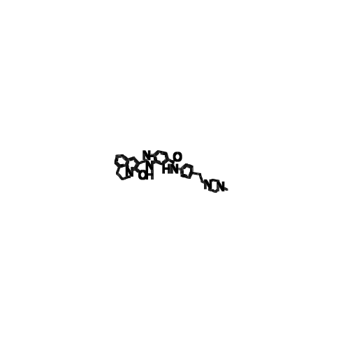 CN1CCN(CCc2ccc(NC(=O)c3ccc4nc(-c5cc6cccc7c6n(c5=O)CCC7)[nH]c4c3)cc2)CC1